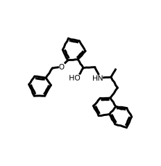 CC(Cc1cccc2ccccc12)NCC(O)c1ccccc1OCc1ccccc1